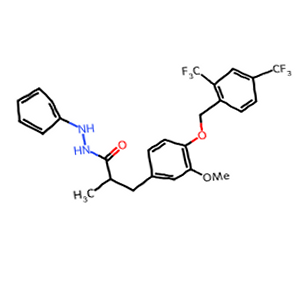 COc1cc(CC(C)C(=O)NNc2ccccc2)ccc1OCc1ccc(C(F)(F)F)cc1C(F)(F)F